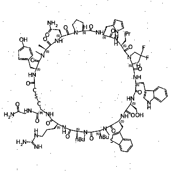 CCCC[C@H]1C(=O)N(C)[C@@H](CCCC)C(=O)N[C@@H](CCCNC(=N)N)C(=O)N[C@H](C(=O)NCC(N)=O)CSCC(=O)N[C@@H](Cc2ccc(O)cc2)C(=O)N(C)[C@@H](C)C(=O)N[C@@H](CC(N)=O)C(=O)N2CCC[C@H]2C(=O)N[C@@H](Cc2ccc[nH]2)C(=O)N[C@@H](CC(C)C)C(=O)N2CC(F)(F)C[C@H]2C(=O)N[C@@H](Cc2c[nH]c3ccccc23)C(=O)N[C@@H](CO)C(=O)N[C@@H](Cc2csc3ccccc23)C(=O)N1C